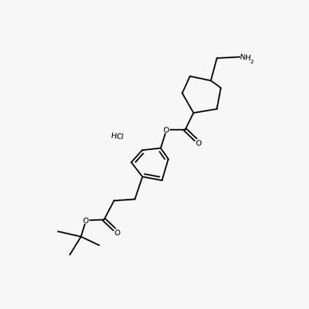 CC(C)(C)OC(=O)CCc1ccc(OC(=O)C2CCC(CN)CC2)cc1.Cl